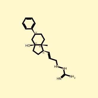 C[C@]12CC[C@H](c3ccccc3)C[C@@]1(O)CC[C@@H]2C=CCNNC(=N)N